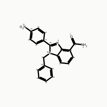 NC(=O)c1cccc2c1nc(-c1ccc([N+](=O)[O-])cc1)n2Cc1ccccc1